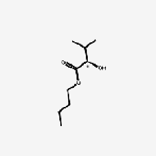 CCCCOC(=O)[C@H](O)C(C)C